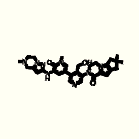 CN1CCn2nc(Nc3cc(-c4cncc(N5CCn6c(cc7c6CC(C)(C)C7)C5=O)c4CO)cn(C)c3=O)cc2C1